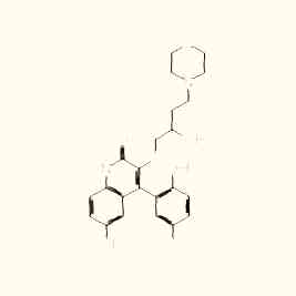 O=c1[nH]c2ccc(C(F)(F)F)cc2c(-c2cc(Cl)ccc2O)c1SCC(O)CCN1CCSCC1